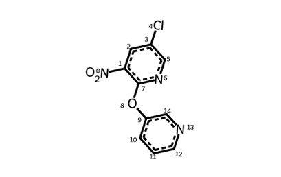 O=[N+]([O-])c1cc(Cl)cnc1Oc1cccnc1